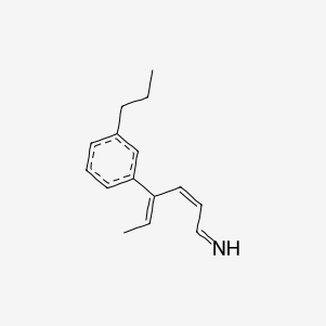 C/C=C(/C=C\C=N)c1cccc(CCC)c1